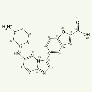 NC1CCCC(Nc2ccc3ncc(-c4ccc5oc(C(=O)O)cc5c4)n3n2)C1